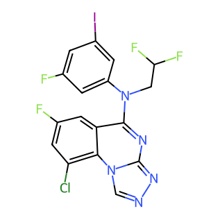 Fc1cc(I)cc(N(CC(F)F)c2nc3nncn3c3c(Cl)cc(F)cc23)c1